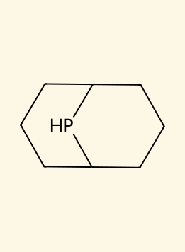 C1CC2CCCC(C1)P2